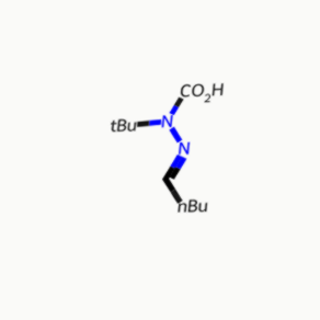 CCCCC=NN(C(=O)O)C(C)(C)C